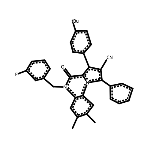 Cc1cc2c(cc1C)n1c(-c3ccccc3)c(C#N)c(-c3ccc(C(C)(C)C)cc3)c1c(=O)n2Cc1cccc(F)c1